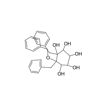 OC1C(O)C(O)C(Cc2ccccc2)(OCc2ccccc2)C(O)(Cc2ccccc2)C1O